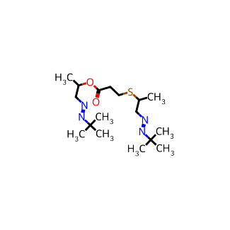 CC(CN=NC(C)(C)C)OC(=O)CCSC(C)CN=NC(C)(C)C